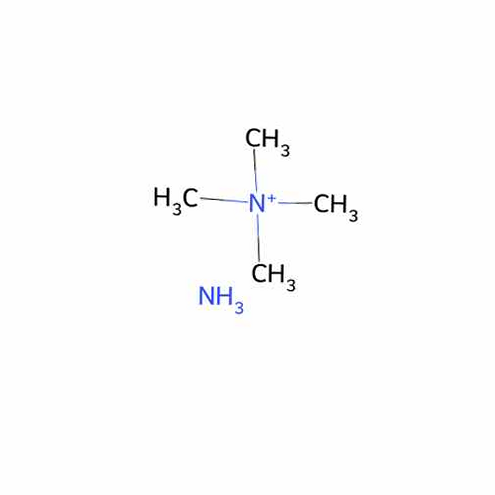 C[N+](C)(C)C.N